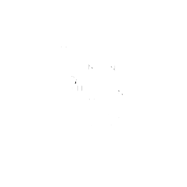 C[C@H]1COCCN1c1cc(C2(S(=O)(=O)c3cc(F)cc(F)c3)CC2)nc(Cl)n1